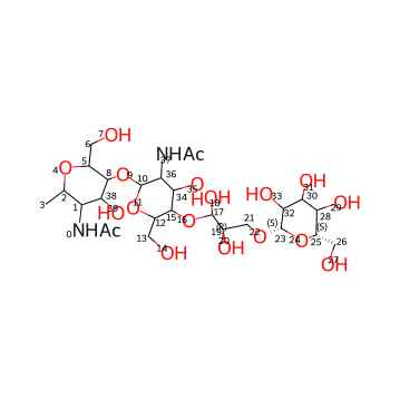 CC(=O)NC1C(C)OC(CO)C(OC2OC(CO)C(OC(O)[C@H](O)CO[C@H]3O[C@@H](CO)C(O)C(O)C3O)C(O)C2NC(C)=O)C1O